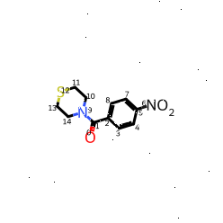 O=C(c1ccc([N+](=O)[O-])cc1)N1CCSCC1